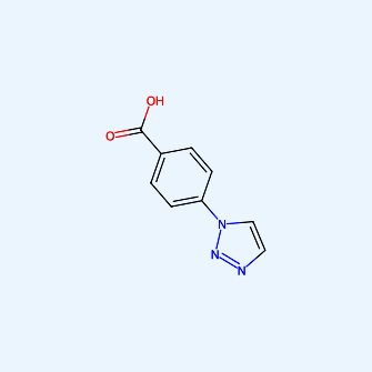 O=C(O)c1ccc(-n2ccnn2)cc1